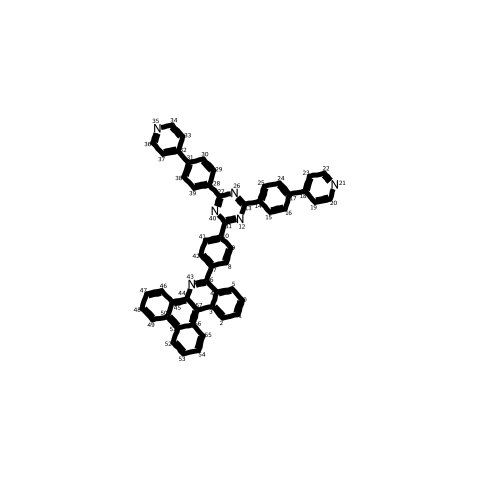 c1ccc2c(c1)c(-c1ccc(-c3nc(-c4ccc(-c5ccncc5)cc4)nc(-c4ccc(-c5ccncc5)cc4)n3)cc1)nc1c3ccccc3c3ccccc3c21